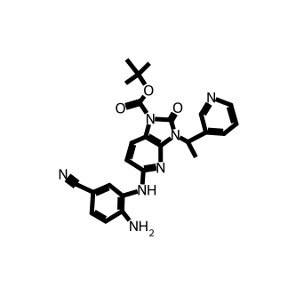 CC(c1cccnc1)n1c(=O)n(C(=O)OC(C)(C)C)c2ccc(Nc3cc(C#N)ccc3N)nc21